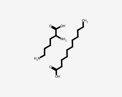 CCCCCCCCCCC(=O)O.NCCCCC(N)C(=O)O